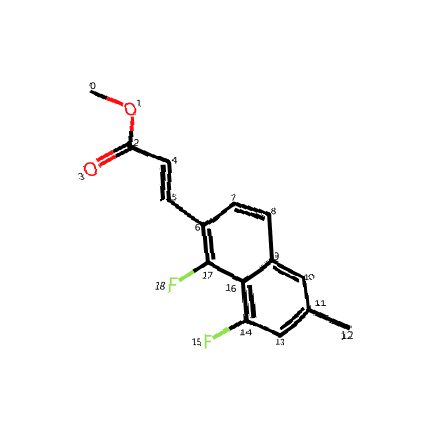 COC(=O)/C=C/c1ccc2cc(C)cc(F)c2c1F